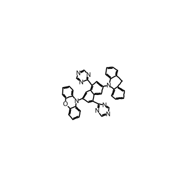 c1ccc2c(c1)Cc1ccccc1N2c1cc(-c2ncncn2)c2cc(N3c4ccccc4Oc4ccccc43)cc(-c3ncncn3)c2c1